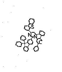 c1ccc(-c2ccc(-c3ccccc3-c3cc(-c4cccc5c4sc4ccccc45)nc(-c4ccc5c(c4)C(c4ccccc4)(c4ccccc4)c4ccccc4-5)n3)cc2)cc1